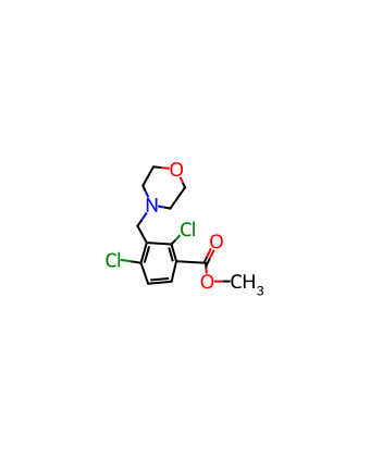 COC(=O)c1ccc(Cl)c(CN2CCOCC2)c1Cl